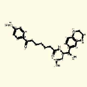 CCC(C)NC[C@@H](NC(=O)CCCCCC(=O)c1ccc(OC)cc1)C(O)c1ccc2c(c1)OCCO2